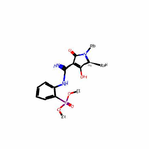 CCOP(=O)(OCC)c1ccccc1NC(=N)C1=C(O)[C@H]([RaH])[N]([Rb])C1=O